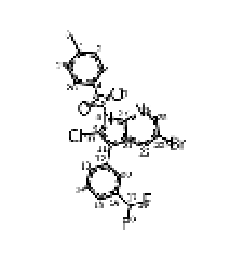 Cc1ccc(S(=O)(=O)n2c(Cl)c(-c3cccc(C(F)F)c3)c3cc(Br)cnc32)cc1